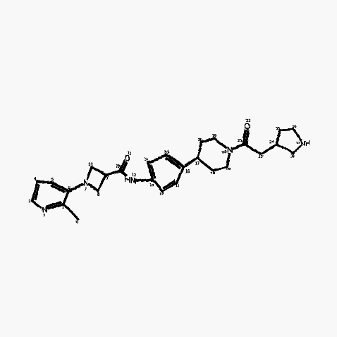 Cc1ncccc1N1CC(C(=O)Nc2ccc(C3CCN(C(=O)CC4CCNC4)CC3)cc2)C1